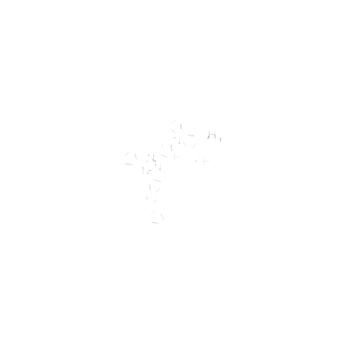 CC1(C)CCC(C)(C)c2cc3c(cc21)c1ccccc1n3-c1ccc(-c2nc(-c3ccccc3)nc(-c3ccc4cc(-c5ccccc5)ccc4c3)n2)cc1